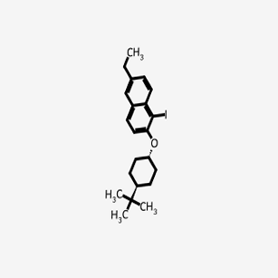 CCc1ccc2c(I)c(O[C@H]3CC[C@H](C(C)(C)C)CC3)ccc2c1